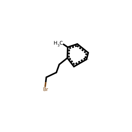 Cc1cc[c]cc1CCCBr